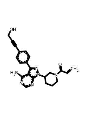 C=CC(=O)N1CCCC(n2nc(-c3ccc(C#CCO)cc3)c3c(N)ncnc32)C1